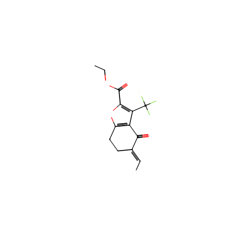 CC=C1CCc2oc(C(=O)OCC)c(C(F)(F)F)c2C1=O